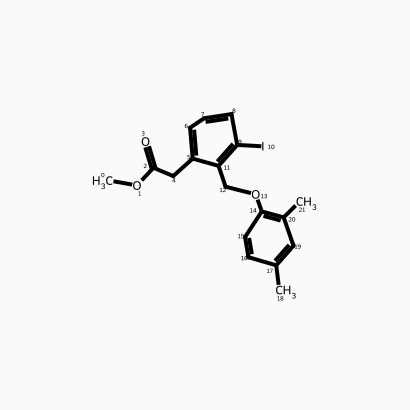 COC(=O)Cc1cccc(I)c1COc1ccc(C)cc1C